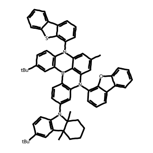 Cc1cc2c3c(c1)N(c1cccc4c1sc1ccccc14)c1ccc(C(C)(C)C)cc1B3c1ccc(N3c4ccc(C(C)(C)C)cc4C4(C)CCCCC34C)cc1N2c1cccc2c1oc1ccccc12